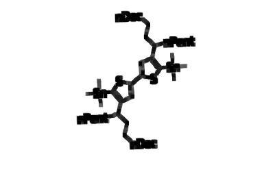 CCCCCCCCCCCCC(CCCCC)c1cc(-c2cc(C(CCCCC)CCCCCCCCCCCC)[c]([Sn]([CH3])([CH3])[CH3])s2)s[c]1[Sn]([CH3])([CH3])[CH3]